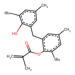 C=C(C)C(=O)Oc1c(Cc2cc(C)cc(C(C)(C)C)c2O)cc(C)cc1C(C)(C)C